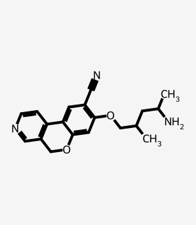 CC(N)CC(C)COc1cc2c(cc1C#N)-c1ccncc1CO2